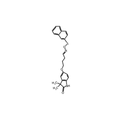 CC1(C)C(=O)Nc2ccc(OCCCC=NOSc3ccc4ccccc4c3)cc21